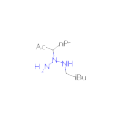 CCCC(C(C)=O)N(N)NCC(C)CC